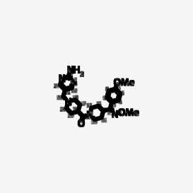 CO/N=C(\c1ccc(OC)cc1)C1CCN(C(=O)C2CCN(Cc3cnc(N)nc3)CC2)CC1